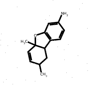 CC1C=CC2(C)Oc3cc(N)ccc3C2C1